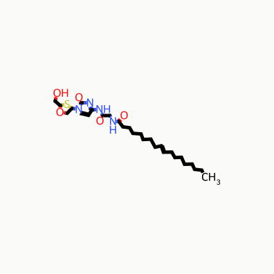 CCCCCCCC/C=C/CCCCCCCC(=O)NCC(=O)Nc1ccn(C2COC(CO)S2)c(=O)n1